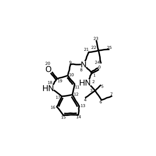 C=C(NC(C)(C)CC)N(Cc1cc2ccccc2[nH]c1=O)CC(C)(C)C